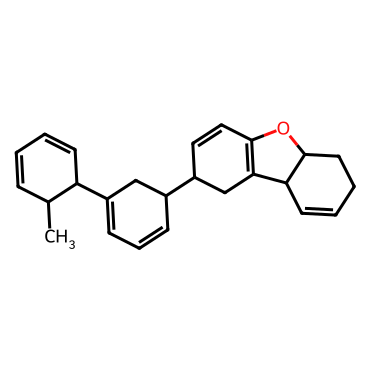 CC1C=CC=CC1C1=CC=CC(C2C=CC3=C(C2)C2C=CCCC2O3)C1